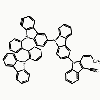 C#Cc1c(/C=C\C)n(-c2ccc3c(c2)c2ccccc2n3-c2ccc3c(c2)c2ccc#cc2n3-c2ccccc2C2=C(n3c4ccccc4c4ccccc43)C=CCC2)c2ccccc12